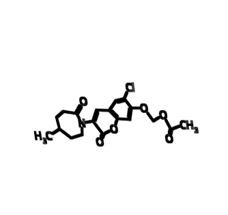 CC(=O)OCOc1cc2oc(=O)c(N3CCC(C)CCC3=O)cc2cc1Cl